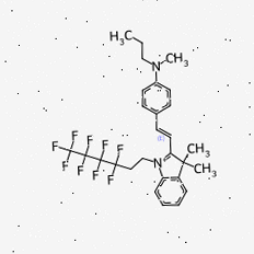 CCCN(C)c1ccc(/C=C/C2=[N+](CCC(F)(F)C(F)(F)C(F)(F)C(F)(F)F)c3ccccc3C2(C)C)cc1